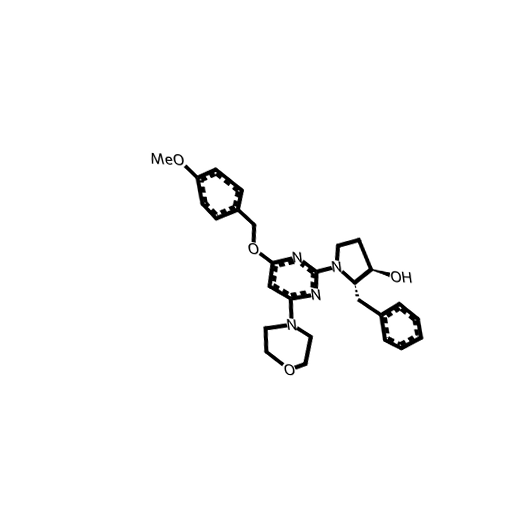 COc1ccc(COc2cc(N3CCOCC3)nc(N3CC[C@@H](O)[C@@H]3Cc3ccccc3)n2)cc1